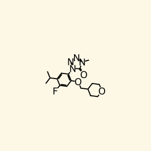 CC(C)c1cc(-n2nnn(C)c2=O)c(OCC2CCOCC2)cc1F